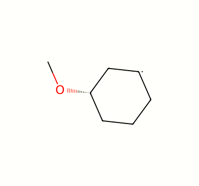 CO[C@@H]1C[CH]CCC1